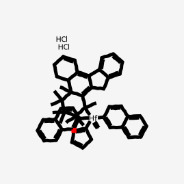 Cl.Cl.[CH2]=[Hf]([C]1=CC=CC1)([c]1ccc2ccccc2c1)([c]1ccc2ccccc2c1)[C]1(C)C2=C3Cc4ccccc4C3=C3C=CCCC3C2(C)C(C)(C)C(C)(C)C1(C)C